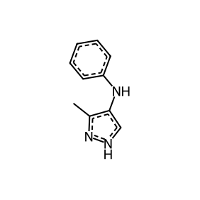 Cc1n[nH]cc1Nc1ccccc1